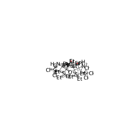 CCCC(N)(C[Si](Cl)(Cl)Cl)C(OC(C(N)(CCC)C[Si](Cl)(Cl)Cl)([Si](CC)(CC)CC)[Si](CC)(CC)CC)([Si](CC)(CC)CC)[Si](CC)(CC)CC